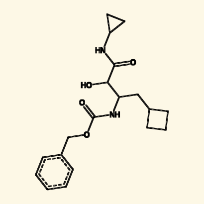 O=C(NC(CC1CCC1)C(O)C(=O)NC1CC1)OCc1ccccc1